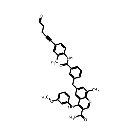 COc1cccc(Nc2c(C(N)=O)cnc3c(C)cc(Cc4cccc(C(=O)Nc5ccc(C#CCCC=O)cc5C)c4)cc23)c1